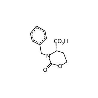 O=C(O)[C@@H]1CCOC(=O)N1Cc1ccccc1